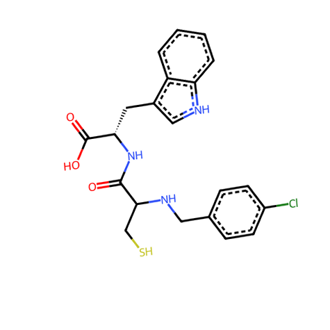 O=C(N[C@@H](Cc1c[nH]c2ccccc12)C(=O)O)C(CS)NCc1ccc(Cl)cc1